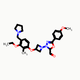 CCOc1c(CN2CCCC2)ccc(OC2CN(N3N=C(c4ccc(OC)cc4)OC3C=O)C2)c1C